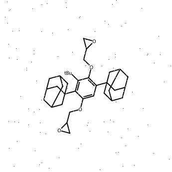 CC(C)(C)c1c(OCC2CO2)c(C23CC4CC(CC(C4)C2)C3)cc(OCC2CO2)c1C12CC3CC(CC(C3)C1)C2